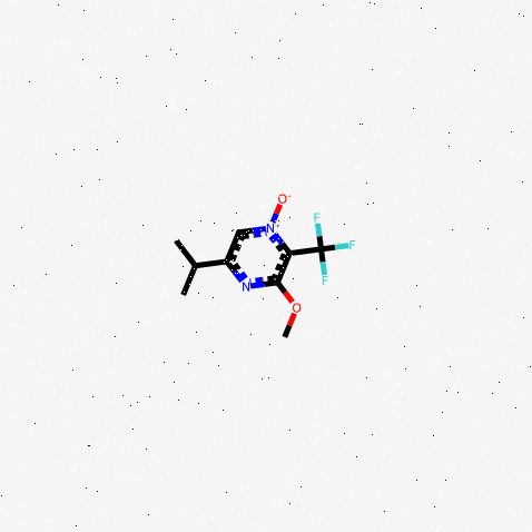 COc1nc(C(C)C)c[n+]([O-])c1C(F)(F)F